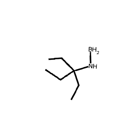 BNC(CC)(CC)CC